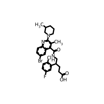 Cc1c(N2CCCC(C)C2)nc2ccc(Br)cc2c1C(=O)NCC(CCC(=O)O)c1cc(F)ccc1Cl